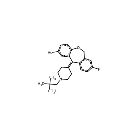 CC(=O)c1ccc2c(c1)C(=C1CCN(CC(C)(C)C(=O)O)CC1)c1ccc(F)cc1CO2